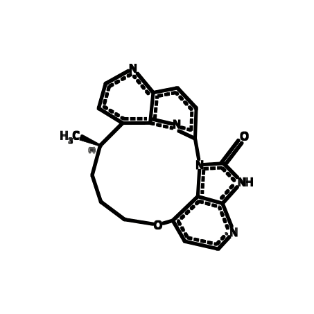 C[C@@H]1CCCOc2ccnc3[nH]c(=O)n(c23)-c2ccc3nccc1c3n2